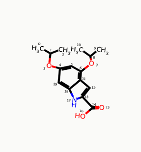 CC(C)Oc1cc(OC(C)C)c2cc(C(=O)O)[nH]c2c1